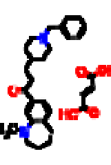 CN1CCCCc2ccc(C(=O)CCC3CCN(Cc4ccccc4)CC3)cc21.O=C(O)/C=C/C(=O)O